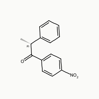 C[C@@H](C(=O)c1ccc([N+](=O)[O-])cc1)c1ccccc1